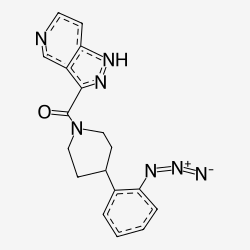 [N-]=[N+]=Nc1ccccc1C1CCN(C(=O)c2n[nH]c3ccncc23)CC1